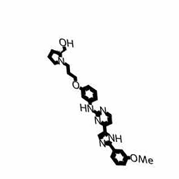 COc1cccc(-c2ncc(-c3ccnc(Nc4cccc(OCCCN5CCC[C@H]5CO)c4)n3)[nH]2)c1